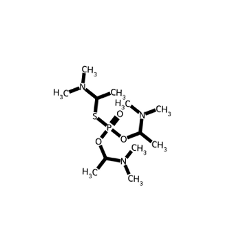 CC(OP(=O)(OC(C)N(C)C)SC(C)N(C)C)N(C)C